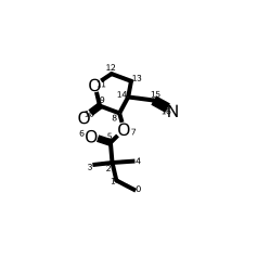 CCC(C)(C)C(=O)OC1C(=O)OCCC1C#N